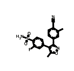 Cc1cc(-c2noc(C)c2-c2ccc(S(N)(=O)=O)c(F)c2)ccc1C#N